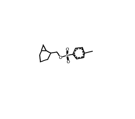 Cc1ccc(S(=O)(=O)OCC2CCCC3CC23)cc1